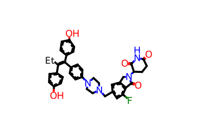 CC/C(=C(\c1ccc(O)cc1)c1ccc(N2CCN(Cc3cc(F)c4c(c3)CN(C3CCC(=O)NC3=O)C4=O)CC2)cc1)c1ccc(O)cc1